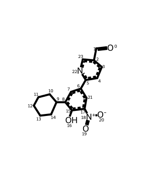 O=Cc1ccc(-c2cc(C3CCCCC3)c(O)c([N+](=O)[O-])c2)nc1